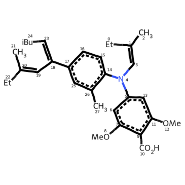 CC/C(C)=C\N(c1cc(OC)c(C(=O)O)c(OC)c1)c1ccc(C(/C=C(\C)CC)=C/C(C)CC)cc1C